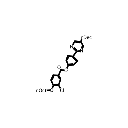 CCCCCCCCCCc1cnc(-c2ccc(OC(=O)c3ccc(OCCCCCCCC)c(Cl)c3)cc2)nc1